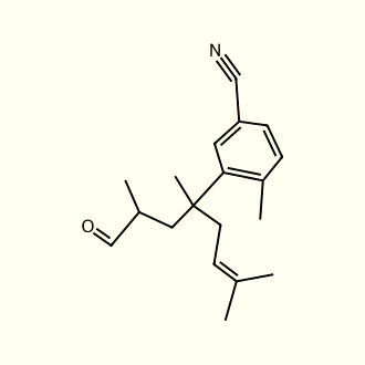 CC(C)=CCC(C)(CC(C)C=O)c1cc(C#N)ccc1C